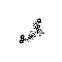 CC[C@H](C)[C@@H]([C@@H](CC(=O)[C@@]1([C@H](OC)[C@@H](C)C(=O)N[C@@H](Cc2ccccc2)C(=O)OC)CCCN1)OC)N(C)C(=O)[C@@H](NC(=O)C(C)(C)CNC(=O)OCC1c2ccccc2-c2ccccc21)C(C)C